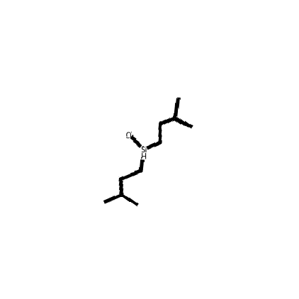 CC(C)CC[SiH](Cl)CCC(C)C